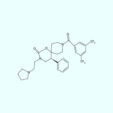 O=C1OC2(CCN(C(=O)c3cc(C(F)(F)F)cc(C(F)(F)F)c3)CC2)[C@@H](c2ccccc2)CN1CCN1CCCC1